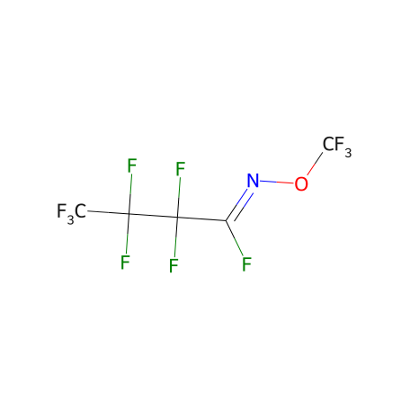 FC(=NOC(F)(F)F)C(F)(F)C(F)(F)C(F)(F)F